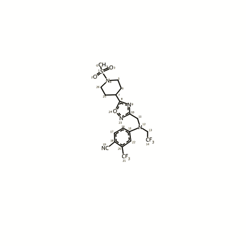 CS(=O)(=O)N1CCC(c2nc(CN(CC(F)(F)F)c3ccc(C#N)c(C(F)(F)F)c3)no2)CC1